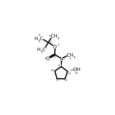 CN(C(=O)OC(C)(C)C)[C@@H]1CCC[C@H]1O